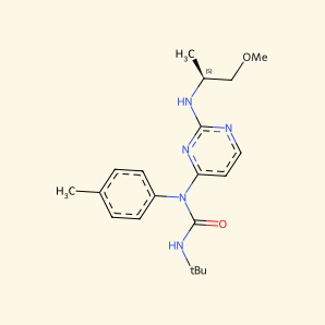 COC[C@H](C)Nc1nccc(N(C(=O)NC(C)(C)C)c2ccc(C)cc2)n1